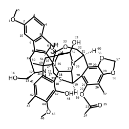 COc1ccc2[nH]c3c(c2c1)C[C@H](CO)N[C@]31CS[C@@H]2c3c(OC(C)=O)c(C)c4c(c3[C@H](COC1=O)N1C2C2c3c(cc(C)c(OC)c3O)C3(C)CC1(O)CN23)OCO4